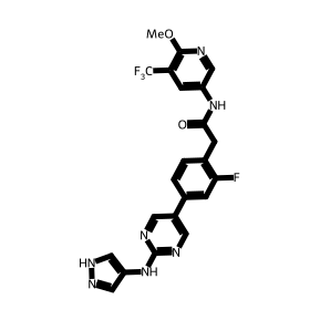 COc1ncc(NC(=O)Cc2ccc(-c3cnc(Nc4cn[nH]c4)nc3)cc2F)cc1C(F)(F)F